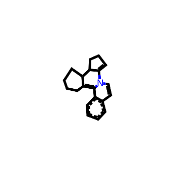 C1=CN2C3=CCCC3C3CCCCC3=C2c2ccccc21